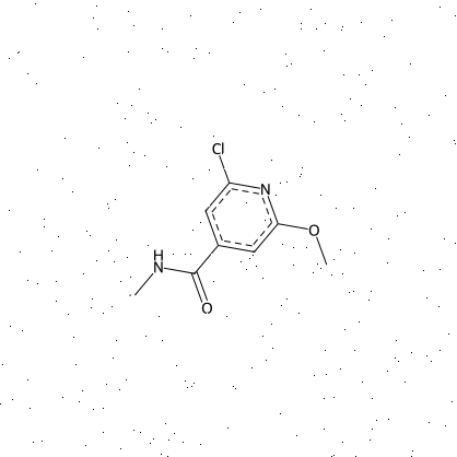 [CH2]NC(=O)c1cc(Cl)nc(OC)c1